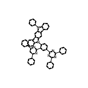 c1ccc(-c2cc(-c3ccccc3)nc(-c3cc(-c4nc(-c5ccccc5)nc(-c5ccccc5)n4)ccc3-n3c4ccccc4c4cc5c(cc43)c3ccccc3n5-c3ccccc3)n2)cc1